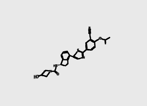 CC(C)Oc1ccc(-c2ncc(-c3cccc4c3CC[C@@H]4NC(=O)N3CC(O)C3)s2)cc1C#N